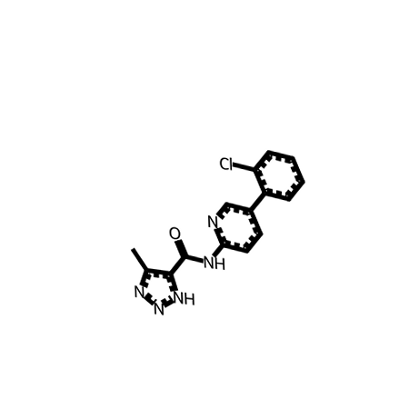 Cc1nn[nH]c1C(=O)Nc1ccc(-c2ccccc2Cl)cn1